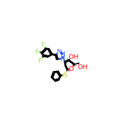 OC[C@H]1O[C@H](Sc2ccccc2)C[C@@H](n2cc(-c3cc(F)c(F)c(F)c3)nn2)[C@H]1O